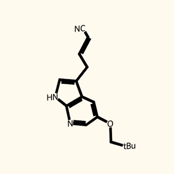 CC(C)(C)COc1cnc2[nH]cc(C/C=C/C#N)c2c1